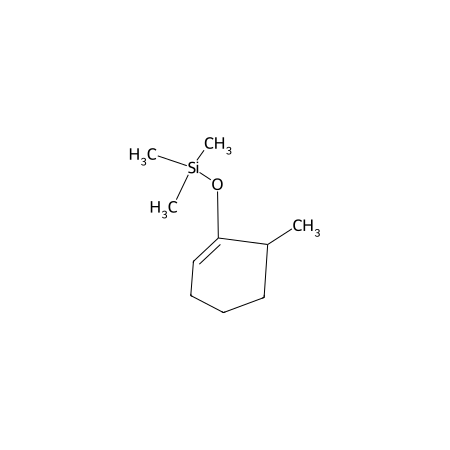 CC1CCCC=C1O[Si](C)(C)C